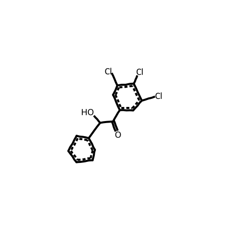 O=C(c1cc(Cl)c(Cl)c(Cl)c1)C(O)c1ccccc1